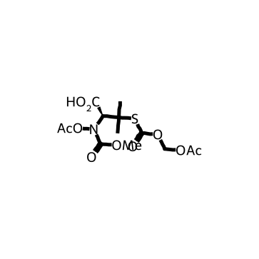 COC(=O)N(OC(C)=O)[C@@H](C(=O)O)C(C)(C)SC(=O)OCOC(C)=O